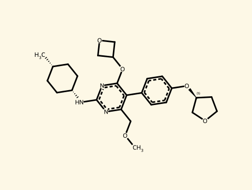 COCc1nc(N[C@H]2CC[C@@H](C)CC2)nc(OC2COC2)c1-c1ccc(O[C@H]2CCOC2)cc1